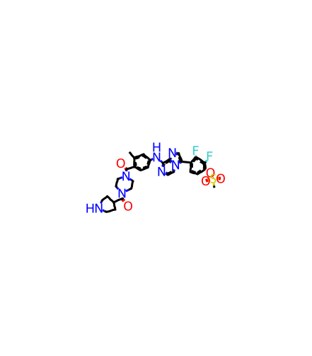 Cc1cc(Nc2nccn3c(-c4ccc(OS(C)(=O)=O)c(F)c4F)cnc23)ccc1C(=O)N1CCN(C(=O)C2CCNCC2)CC1